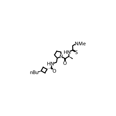 CCCC[C@H]1C[C@H](C(=O)NCC2CCCN2C(=O)[C@H](C)NC(=S)CNC)C1